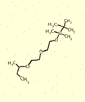 CCC(C)OCCOCCO[Si](C)(C)C(C)(C)C